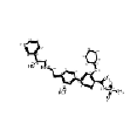 CS(=O)(=O)NC(=O)c1ccc(-c2ccc(CCNC[C@H](O)c3cccnc3)cc2)cc1OC1CCCCC1.Cl.Cl